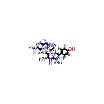 C=C(N[C@H](C(=O)N[C@@H](CCC)C(=C)N[C@H](CN[C@@H](C)C(=C)NC(C(=O)NCC)C(C)C)CC(C)C)[C@@H](C)CC)C1=C(F)C(F)C(O)C(F)=C1F